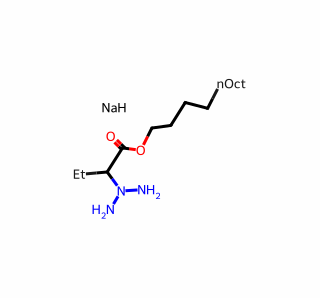 CCCCCCCCCCCCOC(=O)C(CC)N(N)N.[NaH]